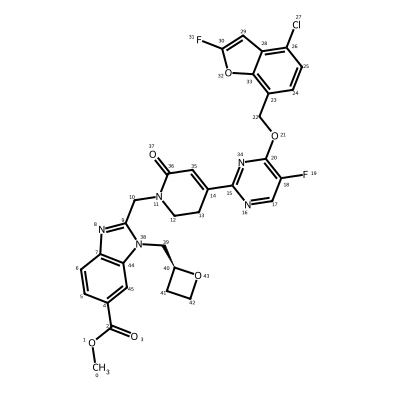 COC(=O)c1ccc2nc(CN3CCC(c4ncc(F)c(OCc5ccc(Cl)c6cc(F)oc56)n4)=CC3=O)n(C[C@@H]3CCO3)c2c1